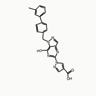 Cc1cccc(-c2ccc(Cn3ncc4nc(-n5cc(C(=O)O)cn5)nc(O)c43)cc2)c1